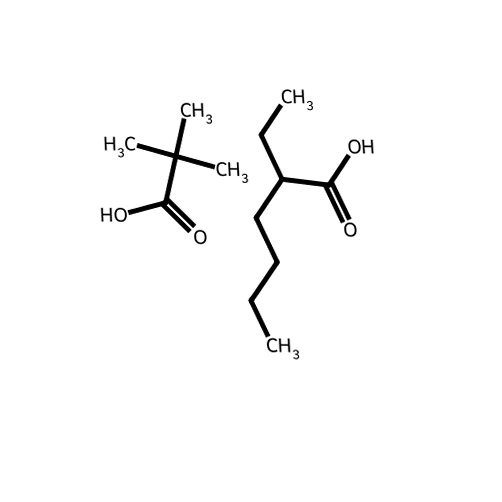 CC(C)(C)C(=O)O.CCCCC(CC)C(=O)O